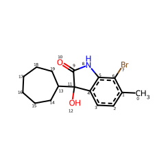 Cc1ccc2c(c1Br)NC(=O)C2(O)C1CCCCCC1